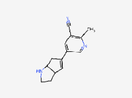 Cc1ncc(C2=CC3CCNC3C2)cc1C#N